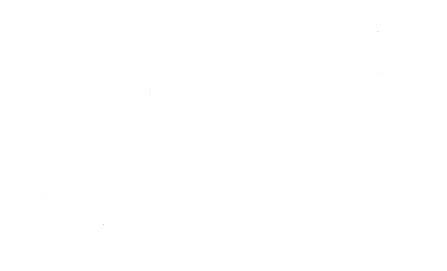 CC(C)(CCCCCc1c(O)ccc(CCCCC2(C(=O)O)CC2)c1O)C(=O)O